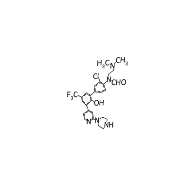 CN(C)CCN(C=O)c1ccc(-c2cc(C(F)(F)F)cc(-c3ccnc(N4CCNCC4)c3)c2O)cc1Cl